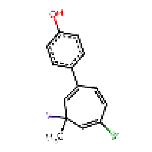 CC1(I)C=C(Br)C=CC(c2ccc(O)cc2)=C1